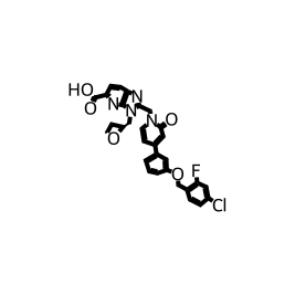 O=C(O)c1ccc2nc(Cn3ccc(-c4cccc(OCc5ccc(Cl)cc5F)c4)cc3=O)n(C[C@@H]3CCO3)c2n1